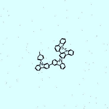 CC1C=CC(n2c3ccccc3c3ccc(-c4ccc5c(c4)c4ccccc4n5-c4cc(-c5cccc6c5sc5ccccc56)c5sc6ccccc6c5c4)cc32)=CC1